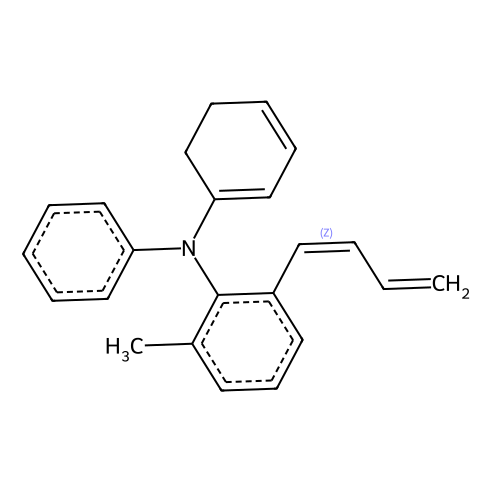 C=C/C=C\c1cccc(C)c1N(C1=CC=CCC1)c1ccccc1